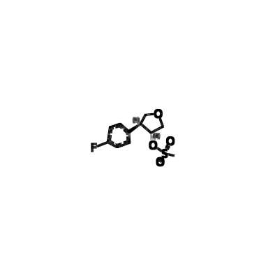 CS(=O)(=O)O[C@H]1COC[C@@H]1c1ccc(F)cc1